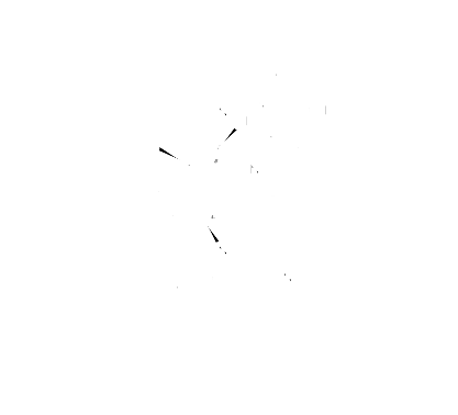 CC1(C)C(=O)N2c3ccccc3C[C@]3(C[C@@H](n4cnc5ccccc5c4=O)C(=O)O3)[C@H]2N1O